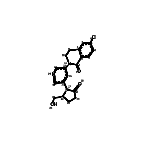 O=C1c2ccc(Cl)cc2CCN1c1cncc(N2C(=O)CCC2CO)c1